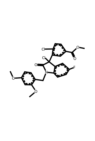 COC(=O)c1ccc(Cl)c(C2(Cl)C(=O)N(Cc3ccc(OC)cc3OC)c3ccc(F)cc32)c1